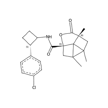 CC12C[C@@]3(C)C(=O)O[C@@]4(C(=O)NC5CC[C@H]5c5ccc(Cl)cc5)CC1(C)C234